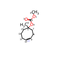 COC(=O)OC1(C)CC/C=C\CCC1